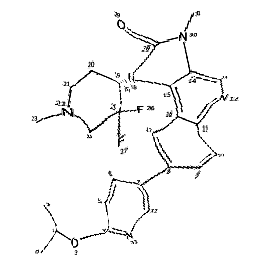 CC(C)Oc1ccc(-c2ccc3ncc4c(c3c2)n([C@H]2CCN(C)CC2(F)F)c(=O)n4C)cn1